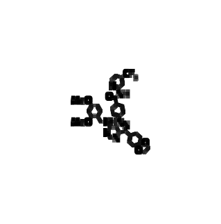 COc1ccc(CNc2ncnc3c(C4=CCC5(CC4)OCCO5)nn(-c4ccc(C(=O)Nc5cc(C(F)(F)F)ccn5)cc4)c23)c(OC)c1